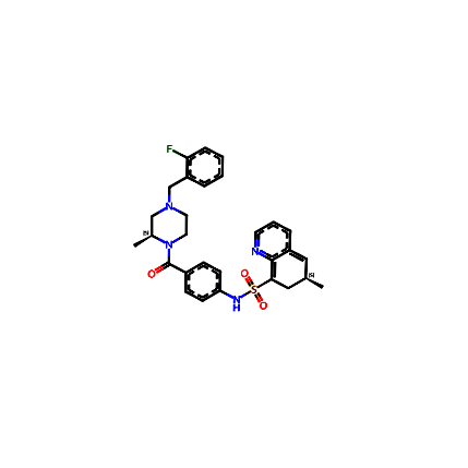 C[C@@H]1C=c2cccnc2=C(S(=O)(=O)Nc2ccc(C(=O)N3CCN(Cc4ccccc4F)C[C@@H]3C)cc2)C1